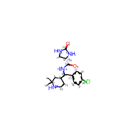 CC1(C)CC(C(NC(=O)[C@@H]2CNC(=O)N2)c2ccc(Cl)cc2)CCN1